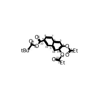 CCC(=O)Oc1cc2ccc(C(=O)OC(=O)C(C)(C)C)cc2cc1OC(=O)CC